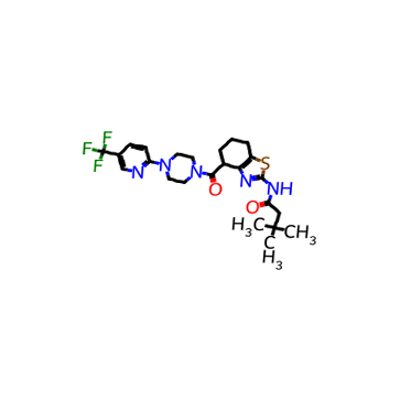 CC(C)(C)CC(=O)Nc1nc2c(s1)CCCC2C(=O)N1CCN(c2ccc(C(F)(F)F)cn2)CC1